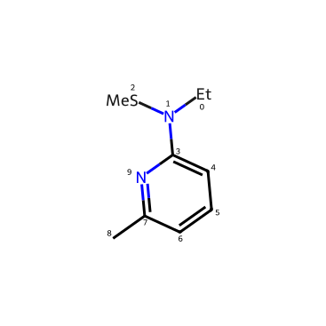 CCN(SC)c1cccc(C)n1